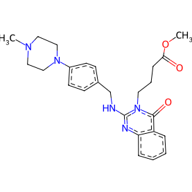 COC(=O)CCCn1c(NCc2ccc(N3CCN(C)CC3)cc2)nc2ccccc2c1=O